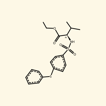 CCOC(=O)[C@H](NS(=O)(=O)c1ccc(Sc2ccccc2)cc1)C(C)C